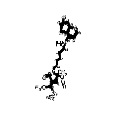 CCSC(C1=CC(C)(O)N(CCCCCCNc2ccnc3cc(Cl)ccc23)C1=O)C(F)(F)F